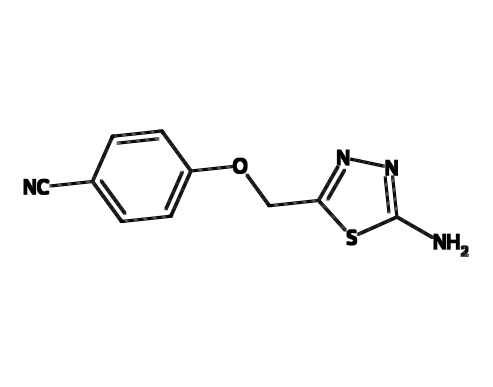 N#Cc1ccc(OCc2nnc(N)s2)cc1